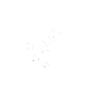 O=C(CCl)C(=NO)C(=O)NC1C(=O)N2C(C(=O)OC(c3ccccc3)c3ccccc3)=C(CSc3ncns3)CS[C@@H]12